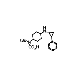 CC(C)(C)N(C(=O)O)C1CCC(N[C@@H]2C[C@H]2c2ccccc2)CC1